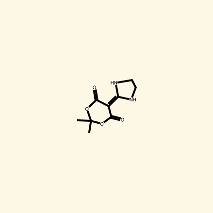 CC1(C)OC(=O)C(=C2NCCN2)C(=O)O1